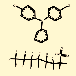 Clc1ccc([S+](c2ccccc2)c2ccc(Cl)cc2)cc1.O=S(=O)([O-])C(F)(F)C(F)(F)C(F)(F)C(F)(F)C(F)(F)C(F)(F)C(F)(F)C(F)(F)F